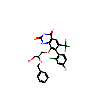 O=c1[nH]c(=O)c2cc(C(F)(F)F)c(-c3ccc(F)cc3F)c(SC[C@H](CO)OCc3ccccc3)c2[nH]1